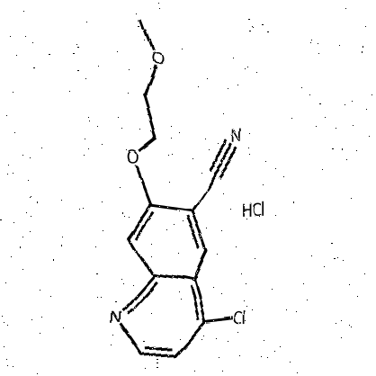 COCCOc1cc2nccc(Cl)c2cc1C#N.Cl